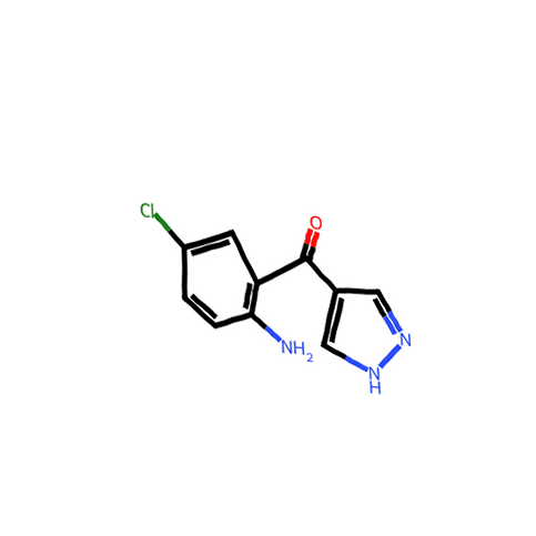 Nc1ccc(Cl)cc1C(=O)c1cn[nH]c1